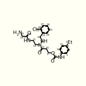 CCc1ccc(NC(=O)OCCC(=O)N(CCNC(=O)CN)NCc2ccccc2Cl)cc1